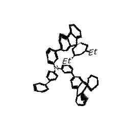 CCC1CC[C@@]2(C[C@H](CC)C1)c1ccccc1-c1ccc(-c3cccc(N(c4ccc(-c5ccccc5)cc4)c4cccc(-c5ccc6c(c5)C5(CCCCC5)c5ccccc5-6)c4)c3)cc12